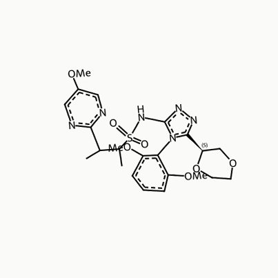 COc1cnc(C(C)C(C)S(=O)(=O)Nc2nnc([C@H]3COCCO3)n2-c2c(OC)cccc2OC)nc1